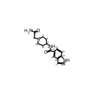 NC(=O)CN1CCC(NC(=O)c2ccc3[nH]ncc3c2)CC1